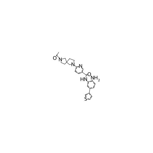 CC(=O)N1CCC2(CCN(c3ccc(C(=O)Nc4cc(-c5ccsc5)ccc4N)cn3)C2)C1